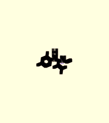 C=C/N=C(/Nc1ccc(C)cc1C)C(C)=C(C)C